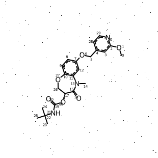 COc1cc(COc2ccc3c(c2)N(C)C(=O)[C@@H](OC(=O)NC(C)(C)C)CO3)ccn1